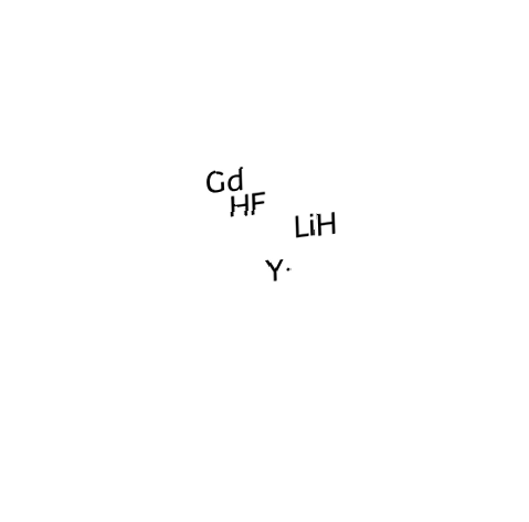 F.[Gd].[LiH].[Y]